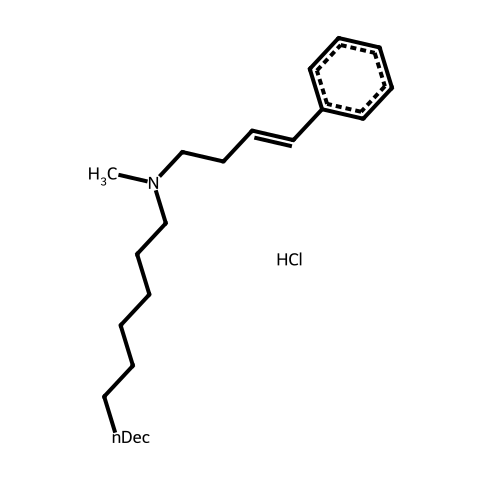 CCCCCCCCCCCCCCCCN(C)CC/C=C/c1ccccc1.Cl